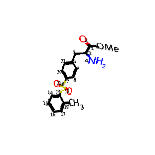 COC(=O)C(N)Cc1ccc(S(=O)(=O)c2ccccc2C)cc1